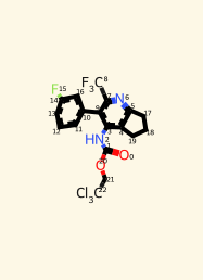 O=C(Nc1c2c(nc(C(F)(F)F)c1-c1cccc(F)c1)CCC2)OCC(Cl)(Cl)Cl